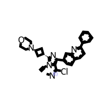 C#Cn1c(/C(Cl)=N\C)c(-c2ccc3ccc(-c4ccccc4)nc3c2)nc1[C@H]1C[C@@H](N2CCOCC2)C1